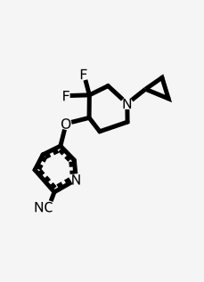 N#Cc1ccc(OC2CCN(C3CC3)CC2(F)F)cn1